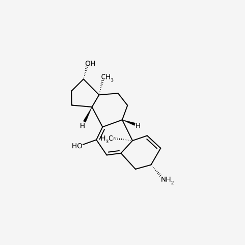 C[C@]12CC[C@H]3C(=C(O)C=C4C[C@@H](N)C=C[C@@]43C)[C@@H]1CC[C@@H]2O